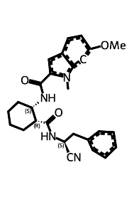 COc1ccc2cc(C(=O)N[C@H]3CCCC[C@H]3C(=O)N[C@H](C#N)Cc3ccccc3)n(C)c2c1